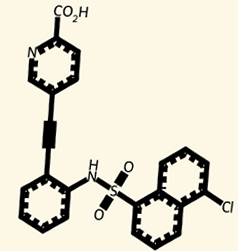 O=C(O)c1ccc(C#Cc2ccccc2NS(=O)(=O)c2cccc3c(Cl)cccc23)cn1